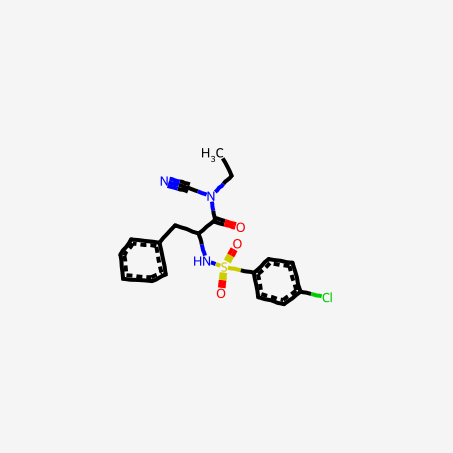 CCN(C#N)C(=O)C(Cc1ccccc1)NS(=O)(=O)c1ccc(Cl)cc1